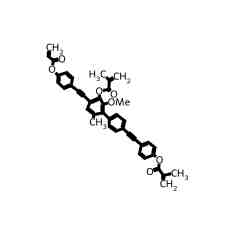 C=CC(=O)Oc1ccc(C#Cc2cc(C)c(-c3ccc(C#Cc4ccc(OC(=O)C(=C)C)cc4)cc3)c(OC)c2OC(=O)C(=C)C)cc1